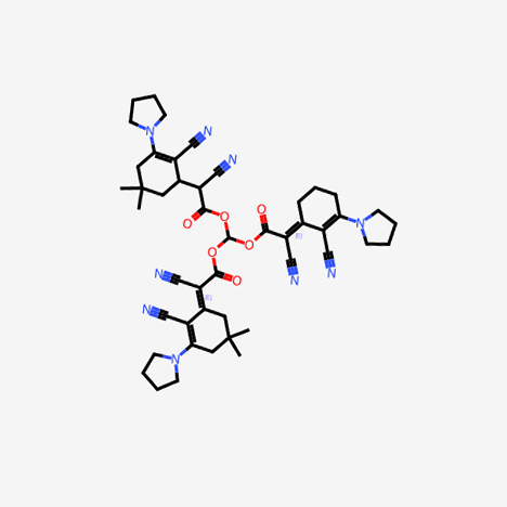 CC1(C)CC(N2CCCC2)=C(C#N)/C(=C(\C#N)C(=O)OC(OC(=O)/C(C#N)=C2\CCCC(N3CCCC3)=C2C#N)OC(=O)C(C#N)C2CC(C)(C)CC(N3CCCC3)=C2C#N)C1